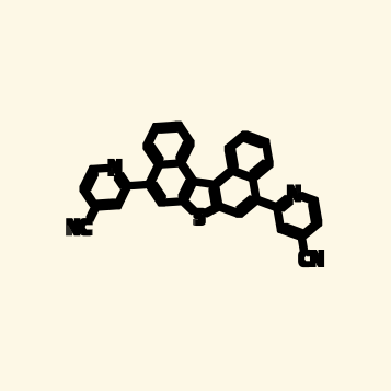 N#Cc1ccnc(-c2cc3sc4cc(-c5cc(C#N)ccn5)c5ccccc5c4c3c3ccccc23)c1